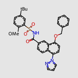 COc1ccc(C(C)(C)C)cc1S(=O)(=O)NC(=O)c1ccc2c(-n3cccn3)ccc(OCc3ccccc3)c2c1